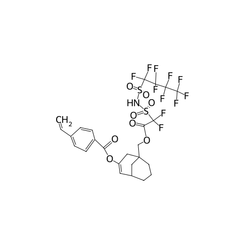 C=Cc1ccc(C(=O)OC2=CC3CCCC(COC(=O)C(F)(F)S(=O)(=O)NS(=O)(=O)C(F)(F)C(F)(F)C(F)(F)C(F)(F)F)(C2)C3)cc1